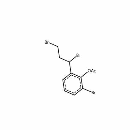 CC(=O)Oc1c(Br)cccc1C(Br)CCBr